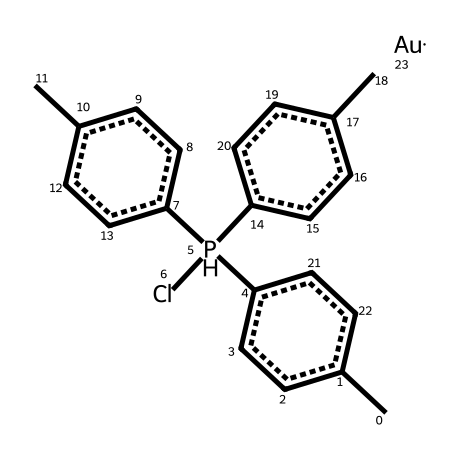 Cc1ccc([PH](Cl)(c2ccc(C)cc2)c2ccc(C)cc2)cc1.[Au]